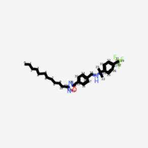 CCCCCCCCCCCc1noc(-c2ccc(CNC(C)(C)c3ccc(C(F)(F)F)cc3)cc2)n1